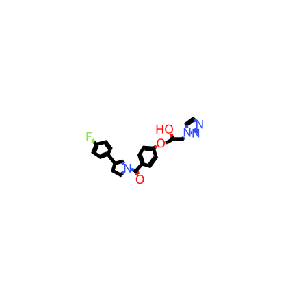 O=C(c1ccc(OCC(O)Cn2ccnn2)cc1)N1CCC(c2ccc(F)cc2)C1